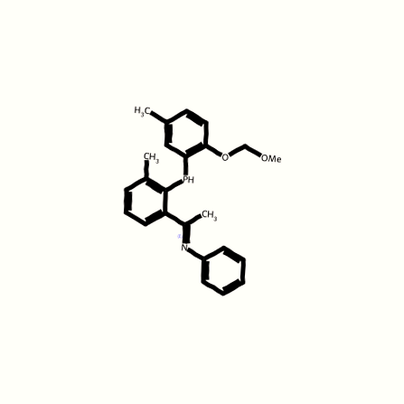 COCOc1ccc(C)cc1Pc1c(C)cccc1/C(C)=N/c1ccccc1